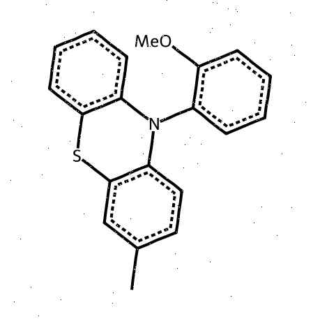 COc1ccccc1N1c2ccccc2Sc2cc(C)ccc21